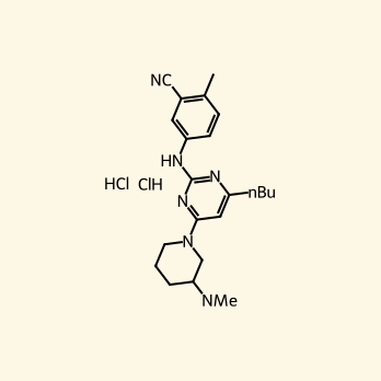 CCCCc1cc(N2CCCC(NC)C2)nc(Nc2ccc(C)c(C#N)c2)n1.Cl.Cl